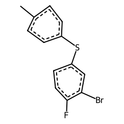 Cc1ccc(Sc2ccc(F)c(Br)c2)cc1